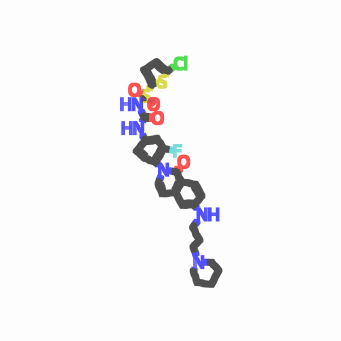 O=C(Nc1ccc(-n2ccc3cc(NCCCN4CCCCC4)ccc3c2=O)c(F)c1)NS(=O)(=O)c1ccc(Cl)s1